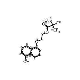 O=C(OCCOc1cccc2c(O)cccc12)C(F)(C(F)(F)F)S(=O)(=O)O